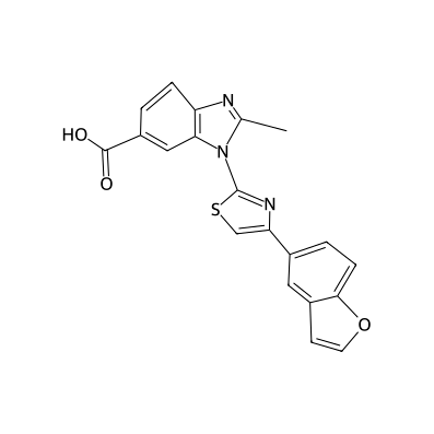 Cc1nc2ccc(C(=O)O)cc2n1-c1nc(-c2ccc3occc3c2)cs1